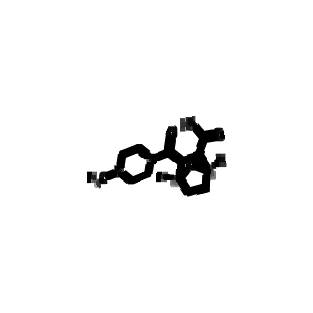 CN1CCN(C(=O)C2C(C(=O)S)[C@H]3CC[C@@H]2O3)CC1